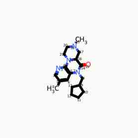 Cc1cnc2c(c1)N(CC1CCCC1)C(=O)C1CN(C)CCN21